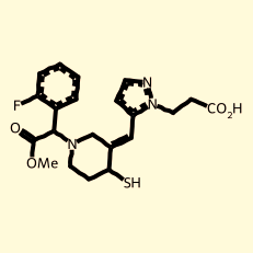 COC(=O)C(c1ccccc1F)N1CCC(S)C(=Cc2ccnn2CCC(=O)O)C1